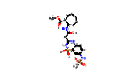 COC(=O)C1CCCCCC1NC(=O)CC1=NS(=O)(=O)c2cc(NS(C)(=O)=O)ccc2N1